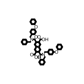 O=C(O)c1cc2cc(C(=O)N(Cc3ccccc3)Cc3ccc(Oc4ccccc4)cc3)c(C(=O)O)cc2cc1C(=O)N(Cc1ccccc1)Cc1ccc(Oc2ccccc2)cc1